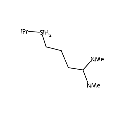 CNC(CCC[SiH2]C(C)C)NC